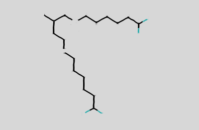 CC(CC[SiH2]CCCCCC(F)F)C[SiH2]CCCCCC(F)F